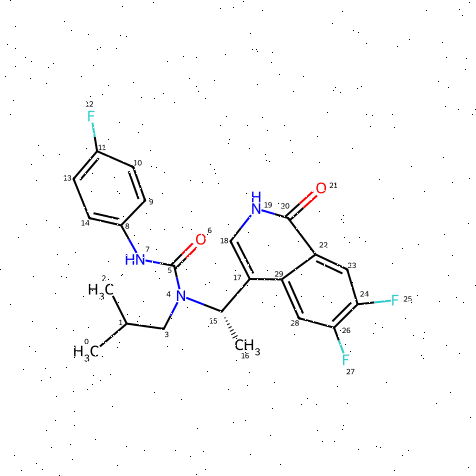 CC(C)CN(C(=O)Nc1ccc(F)cc1)[C@@H](C)c1c[nH]c(=O)c2cc(F)c(F)cc12